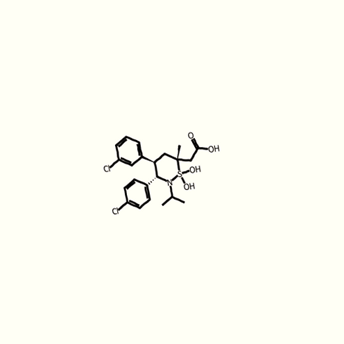 CC(C)N1[C@H](c2ccc(Cl)cc2)[C@@H](c2cccc(Cl)c2)C[C@](C)(CC(=O)O)S1(O)O